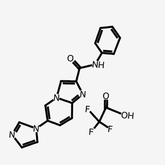 O=C(Nc1ccccc1)c1cn2cc(-n3ccnc3)ccc2n1.O=C(O)C(F)(F)F